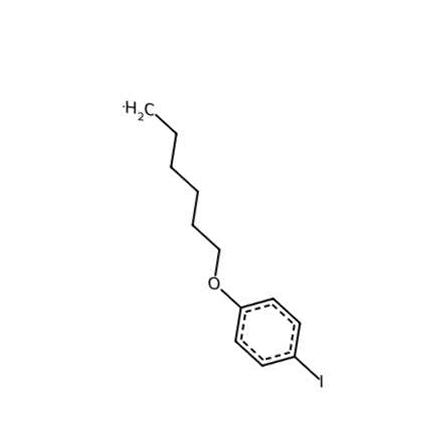 [CH2]CCCCCOc1ccc(I)cc1